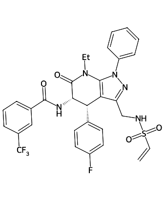 C=CS(=O)(=O)NCc1nn(-c2ccccc2)c2c1[C@H](c1ccc(F)cc1)[C@H](NC(=O)c1cccc(C(F)(F)F)c1)C(=O)N2CC